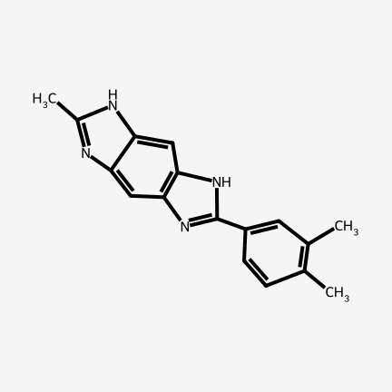 Cc1nc2cc3nc(-c4ccc(C)c(C)c4)[nH]c3cc2[nH]1